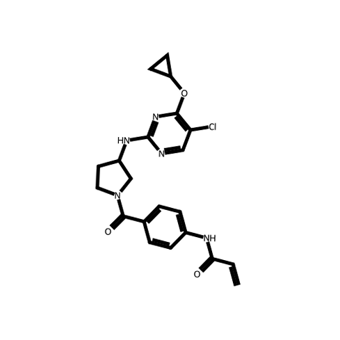 C=CC(=O)Nc1ccc(C(=O)N2CCC(Nc3ncc(Cl)c(OC4CC4)n3)C2)cc1